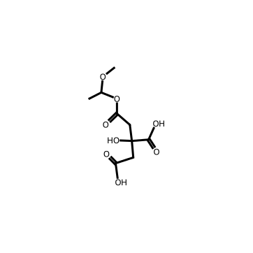 COC(C)OC(=O)CC(O)(CC(=O)O)C(=O)O